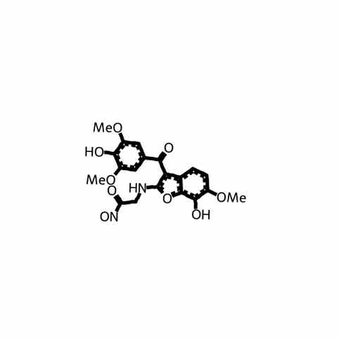 COc1cc(C(=O)c2c(NCC(=O)N=O)oc3c(O)c(OC)ccc23)cc(OC)c1O